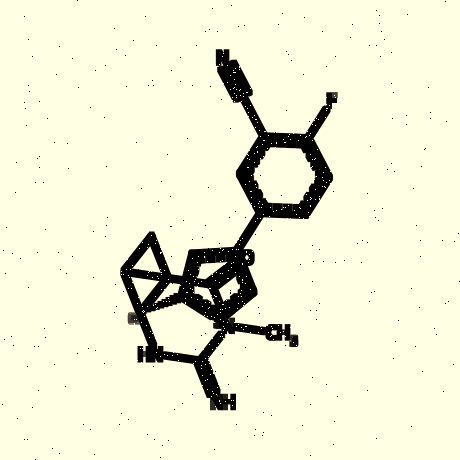 CN1C(=N)N[C@@]2(c3cc(-c4ccc(F)c(C#N)c4)cs3)C3CC32C1=O